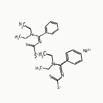 CCN(CC)C(=NC(=S)[S-])c1ccccc1.CCN(CC)C(=NC(=S)[S-])c1ccccc1.[Ni+2]